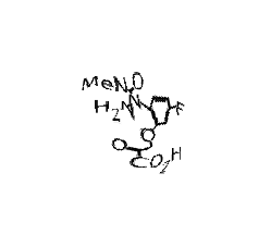 CNC(=O)N(N)c1ccc(F)cc1OCC(=O)C(=O)O